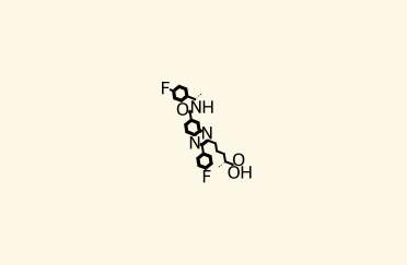 C[C@H](CCCc1nc2cc(C(=O)N[C@@H](C)c3ccc(F)cc3)ccc2nc1-c1ccc(F)cc1)C(=O)O